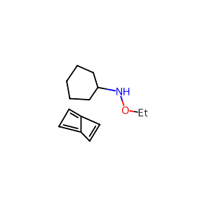 CCONC1CCCCC1.c1cc2ccc1-2